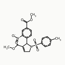 COC(=O)C1=CCN(S(=O)(=O)c2ccc(C)cc2)C1c1ccc(C(=O)OC)cc1[N+](=O)[O-]